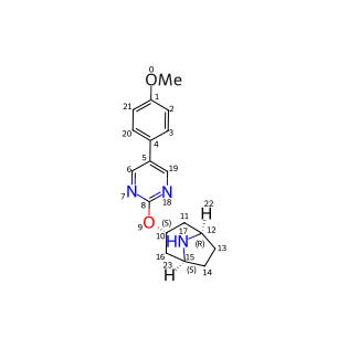 COc1ccc(-c2cnc(O[C@@H]3C[C@H]4CC[C@@H](C3)N4)nc2)cc1